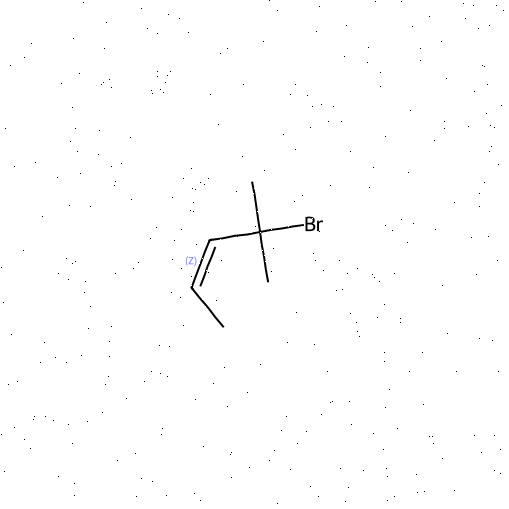 C/C=C\C(C)(C)Br